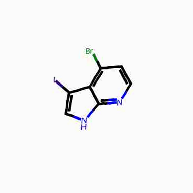 Brc1ccnc2[nH]cc(I)c12